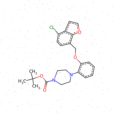 CC(C)(C)OC(=O)N1CCN(c2ccccc2OCc2ccc(Cl)c3ccoc23)CC1